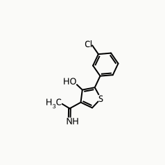 CC(=N)c1csc(-c2cccc(Cl)c2)c1O